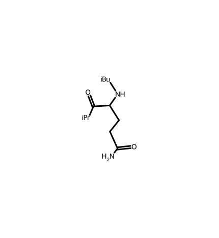 CCC(C)NC(CCC(N)=O)C(=O)C(C)C